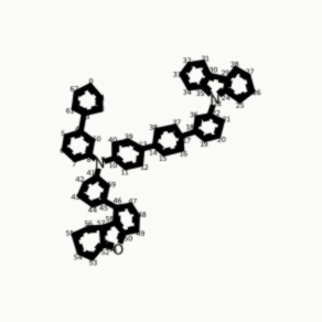 c1ccc(-c2cccc(N(c3ccc(-c4ccc(-c5cccc(-n6c7ccccc7c7ccccc76)c5)cc4)cc3)c3cccc(-c4cccc5oc6ccccc6c45)c3)c2)cc1